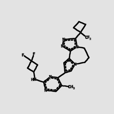 Cc1cnc(NC2CC(F)(F)C2)nc1-c1cc2n(c1)CCCn1c-2nnc1C1(C(F)(F)F)CCC1